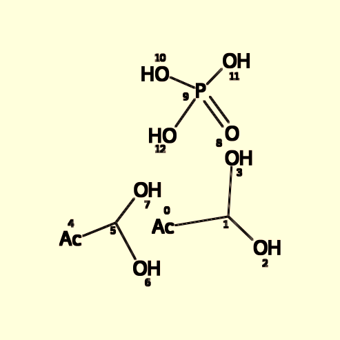 CC(=O)C(O)O.CC(=O)C(O)O.O=P(O)(O)O